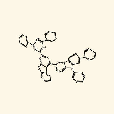 c1ccc(-c2ccc3c4cc(-c5cc(-c6nc(-c7ccccc7)nc(-c7ccccc7)n6)cc6sc7ccccc7c56)ccc4n(-c4ccccc4)c3c2)cc1